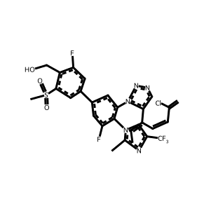 C=C(Cl)/C=C\C(=C/C)c1cnnn1-c1cc(-c2cc(F)c(CO)c(S(C)(=O)=O)c2)cc(F)c1-n1cc(C(F)(F)F)nc1C